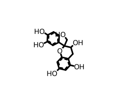 OCC1(c2ccc(O)c(O)c2)Oc2cc(O)cc(O)c2CC1O